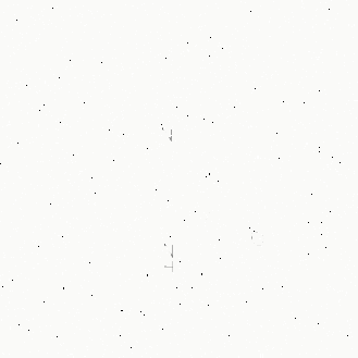 O=C1NCCCn2cccc21